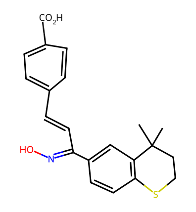 CC1(C)CCSc2ccc(C(/C=C/c3ccc(C(=O)O)cc3)=N/O)cc21